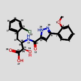 COc1ccccc1-c1cc(C(=O)N[C@H](Cc2ccccc2Cl)[C@@H](O)C(=O)O)[nH]n1